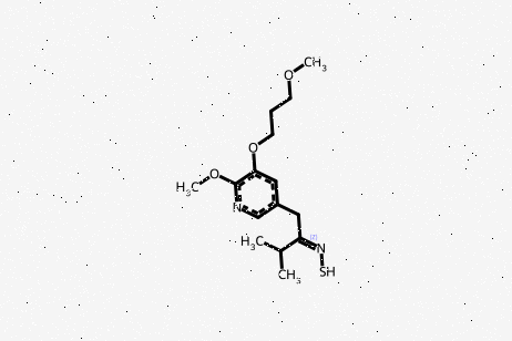 COCCCOc1cc(C/C(=N/S)C(C)C)cnc1OC